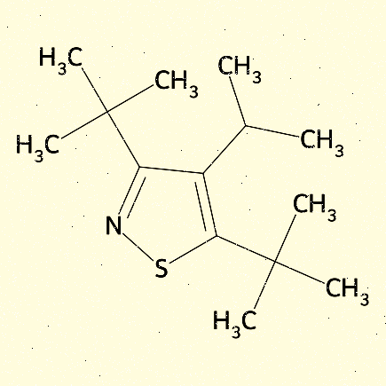 CC(C)c1c(C(C)(C)C)nsc1C(C)(C)C